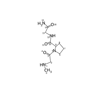 CNCC(=O)N1CCCC1C(=O)NCC(N)=O